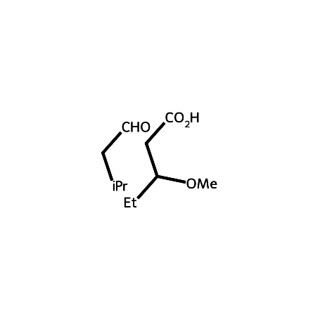 CC(C)CC=O.CCC(CC(=O)O)OC